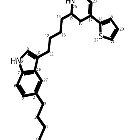 CCCCc1ccc2[nH]cc(CCCCC3CC(c4cccs4)=CCN3)c2c1